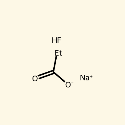 CCC(=O)[O-].F.[Na+]